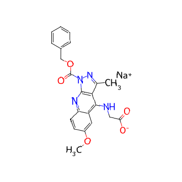 COc1ccc2nc3c(c(C)nn3C(=O)OCc3ccccc3)c(NCC(=O)[O-])c2c1.[Na+]